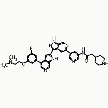 CN(C)CCOc1cc(F)cc(-c2cncc3[nH]c(-c4n[nH]c5cnc(-c6cncc(NC(=O)CC7CCNCC7)c6)cc45)cc23)c1